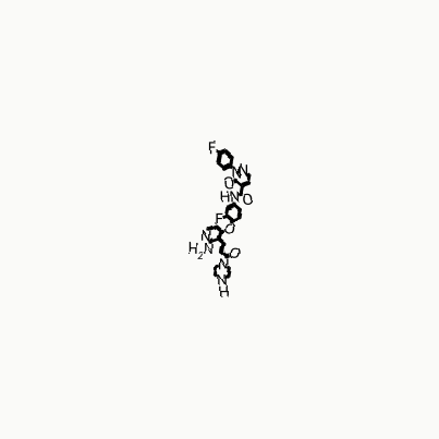 Nc1nccc(Oc2ccc(NC(=O)c3ccnn(-c4ccc(F)cc4)c3=O)cc2F)c1/C=C/C(=O)N1CCNCC1